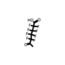 CC(=O)C(F)(F)C(F)(F)C(F)(F)C(F)(F)C(=O)O